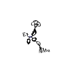 CC/C(=C(/c1ccc(OCCNC)cc1)c1ccc(B2OCCCO2)cc1)c1ccccc1